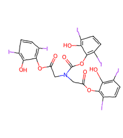 O=C(CN(CC(=O)Oc1c(I)ccc(I)c1O)C(=O)Oc1c(I)ccc(I)c1O)Oc1c(I)ccc(I)c1O